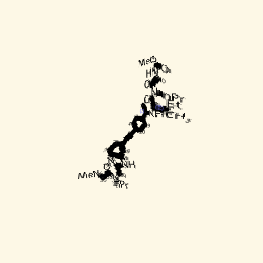 C/C=C(\N/C(CN(CCC)C(=O)CNC(=O)OC)=C(\C)CC)c1ccc(C#Cc2ccc3nc(CN(CCC)C(=O)CNC)[nH]c3c2)cc1